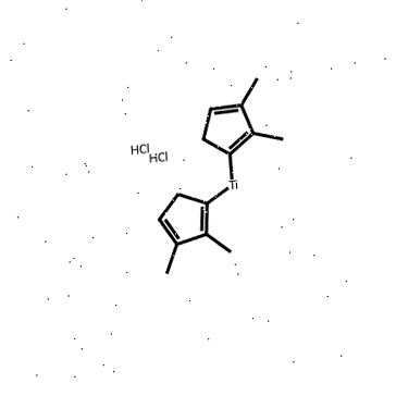 CC1=CC[C]([Ti][C]2=C(C)C(C)=CC2)=C1C.Cl.Cl